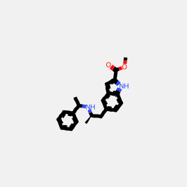 COC(=O)c1cc2cc(C[C@@H](C)NC(C)c3ccccc3)ccc2[nH]1